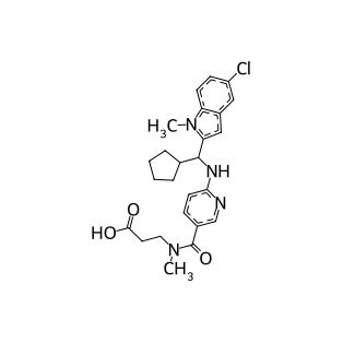 CN(CCC(=O)O)C(=O)c1ccc(NC(c2cc3cc(Cl)ccc3n2C)C2CCCC2)nc1